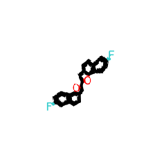 Fc1ccc2c(ccc3cc(-c4cc5ccc6cc(F)ccc6c5o4)oc32)c1